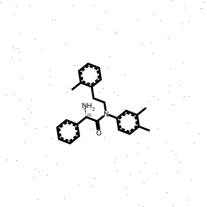 Cc1ccc(N(CCc2ccccc2C)C(=O)[C@@H](N)c2ccccc2)cc1C